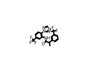 CC(C(=O)Nc1cc(C(F)(F)F)ccc1-n1cncn1)c1cccc(C(F)(F)F)c1